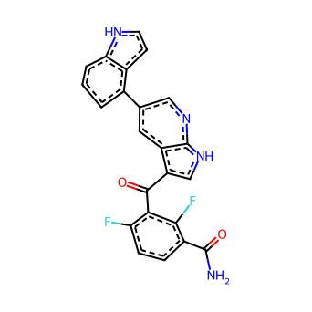 NC(=O)c1ccc(F)c(C(=O)c2c[nH]c3ncc(-c4cccc5[nH]ccc45)cc23)c1F